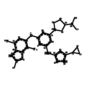 Cc1cc2c(F)c(Oc3nc(Nc4cc(C5CC5)[nH]n4)cc(N4CCC(N(C)C)C4)n3)cc(F)c2[nH]1